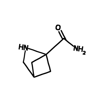 NC(=O)C12CC(CN1)C2